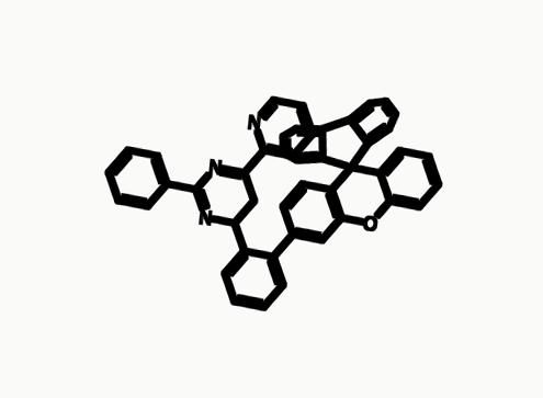 c1ccc(C2=NC(c3ccccc3-c3ccc4c(c3)Oc3ccccc3C43c4ccccc4-c4ccccc43)CC(c3ccccn3)=N2)cc1